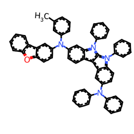 Cc1cccc(N(c2ccc3oc4ccccc4c3c2)c2ccc3c4c5cc(N(c6ccccc6)c6ccccc6)ccc5n(-c5ccccc5)c4n(-c4ccccc4)c3c2)c1